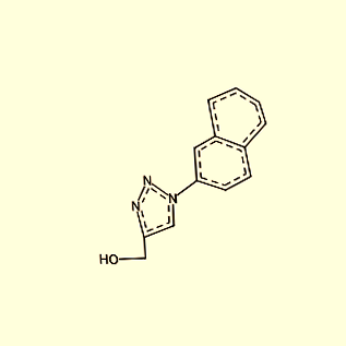 OCc1cn(-c2ccc3ccccc3c2)nn1